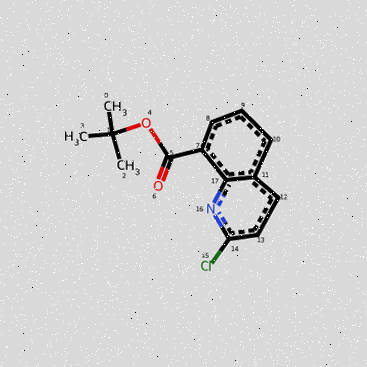 CC(C)(C)OC(=O)c1cccc2ccc(Cl)nc12